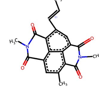 C/C=C/c1cc2c3c(c(C)cc4c3c1C(=O)N(C)C4=O)C(=O)N(C)C2=O